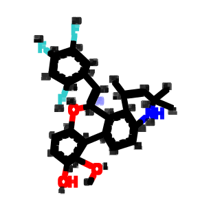 COc1c(O)ccc2c1-c1ccc3c(c1/C(=C/c1cc(F)c(F)cc1F)O2)C(C)=CC(C)(C)N3